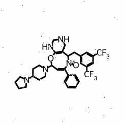 O=[N+]1/C(c2ccccc2)=C\C(N2CCC(N3CCCC3)CC2)OC2=C(CNCN2)C1Cc1cc(C(F)(F)F)cc(C(F)(F)F)c1